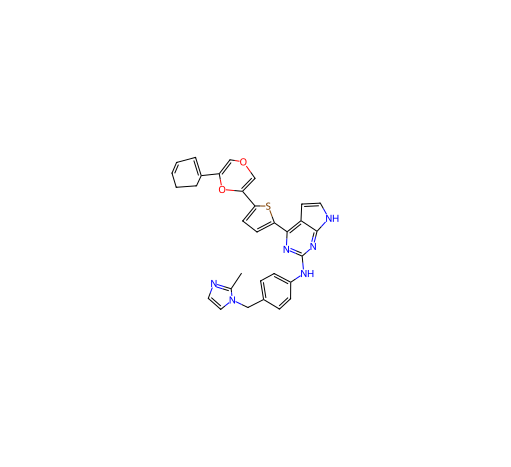 Cc1nccn1Cc1ccc(Nc2nc(-c3ccc(C4=COC=C(C5=CC=CCC5)O4)s3)c3cc[nH]c3n2)cc1